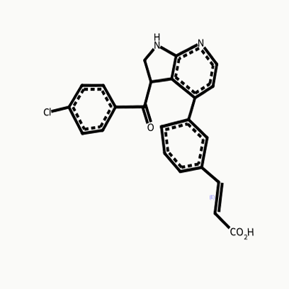 O=C(O)/C=C/c1cccc(-c2ccnc3c2C(C(=O)c2ccc(Cl)cc2)CN3)c1